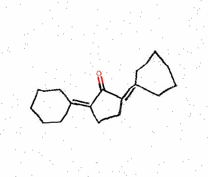 O=C1C(=C2CCCCC2)CCC1=C1CCCCC1